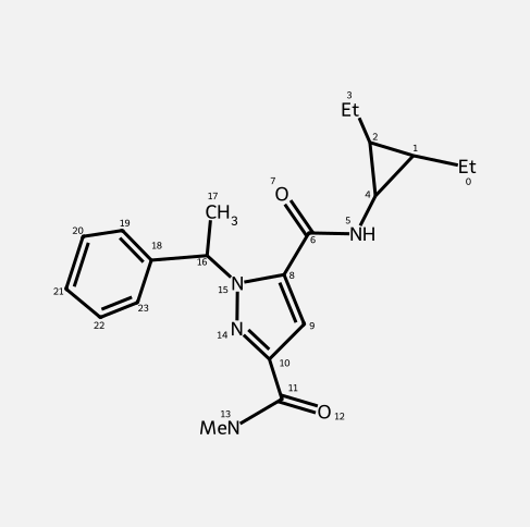 CCC1C(CC)C1NC(=O)c1cc(C(=O)NC)nn1C(C)c1ccccc1